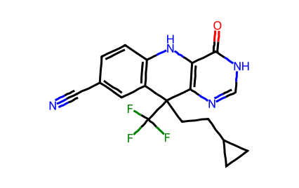 N#Cc1ccc2c(c1)C(CCC1CC1)(C(F)(F)F)c1nc[nH]c(=O)c1N2